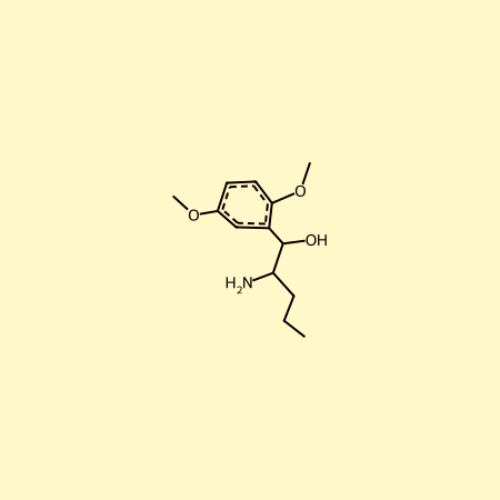 CCCC(N)C(O)c1cc(OC)ccc1OC